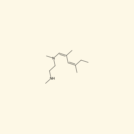 CC/C(C)=C\C(C)=C/N(C)CCNC